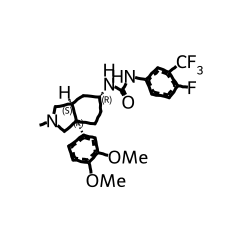 COc1ccc([C@@]23CC[C@@H](NC(=O)Nc4ccc(F)c(C(F)(F)F)c4)C[C@@H]2CN(C)C3)cc1OC